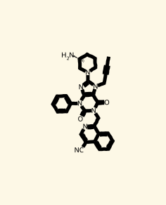 CC#CCn1c(N2CCC[C@@H](N)C2)nc2c1c(=O)n(Cc1ncc(C#N)c3ccccc13)c(=O)n2-c1ccccc1